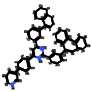 C1=Cc2c(cccc2-c2cccc(-c3cc(-c4ccc(-c5cccnc5)cc4)nc(-c4cccc(-c5cc6ccccc6c6ccccc56)c4)n3)c2)CC1